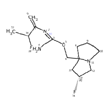 C=C(/N=C(\N)OCC12CCCN1C[C@H](F)C2)C(C)F